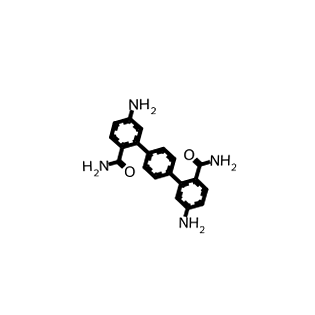 NC(=O)c1ccc(N)cc1-c1ccc(-c2cc(N)ccc2C(N)=O)cc1